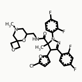 CN1CC(CNC(=O)C2(C)C(c3ccc(Cl)o3)C(c3ccc(F)cc3F)=NN2c2ccc(F)cc2F)OC2(COC2)C1